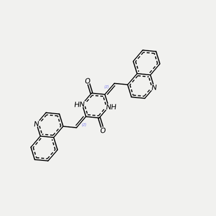 O=c1[nH]/c(=C\c2ccnc3ccccc23)c(=O)[nH]/c1=C\c1ccnc2ccccc12